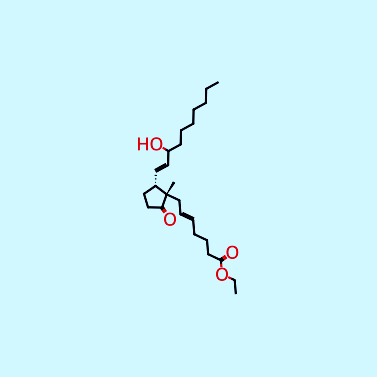 CCCCCCCC(O)C=C[C@H]1CCC(=O)[C@@]1(C)CC=CCCCC(=O)OCC